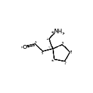 NCC1(CC=O)CCCC1